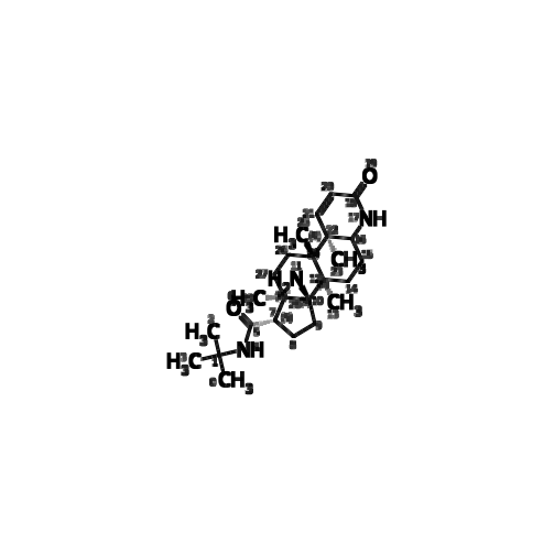 CC(C)(C)NC(=O)[C@H]1CC[C@@]2(N)[C@]3(C)CCC4NC(=O)C=C[C@]4(C)[C@@]3(C)CC[C@]12C